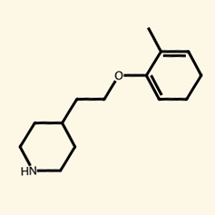 CC1=CCCC=C1OCCC1CCNCC1